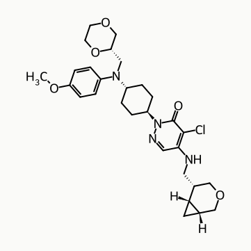 COc1ccc(N(C[C@H]2COCCO2)[C@H]2CC[C@H](n3ncc(NC[C@@H]4COC[C@@H]5C[C@H]45)c(Cl)c3=O)CC2)cc1